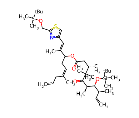 C=CC/C(C)=C\CC(OC(=O)C[C@H](C)C(C)(C)C(=O)[C@H](C)[C@@H](O[Si](C)(C)C(C)(C)C)[C@@H](C)C=C)/C(C)=C/c1csc(CO[Si](C)(C)C(C)(C)C)n1